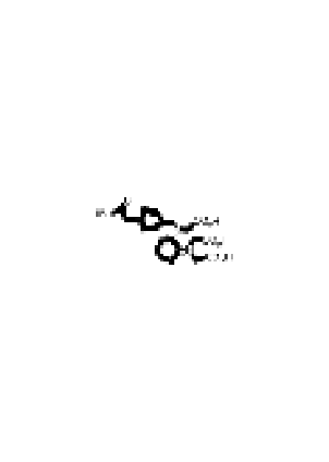 CCC(C)C(=O)Cc1ccc(CN(CC(=O)O)[C@H]2CCCC[C@@H]2N(CC(=O)O)CC(=O)O)cc1